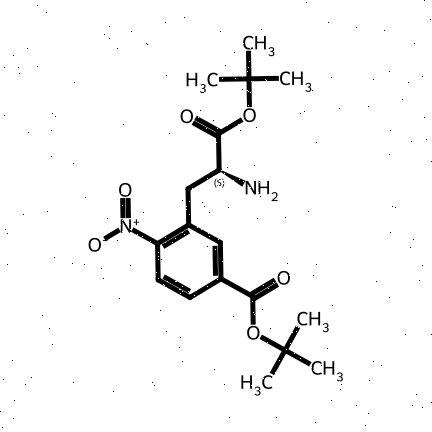 CC(C)(C)OC(=O)c1ccc([N+](=O)[O-])c(C[C@H](N)C(=O)OC(C)(C)C)c1